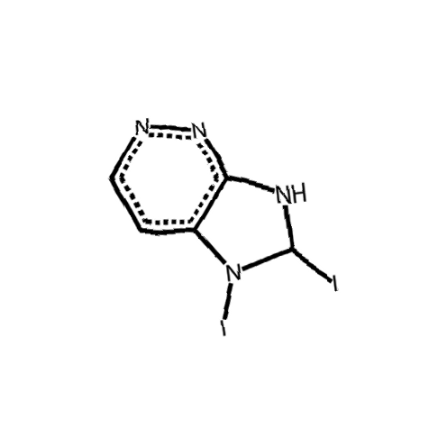 IC1Nc2nnccc2N1I